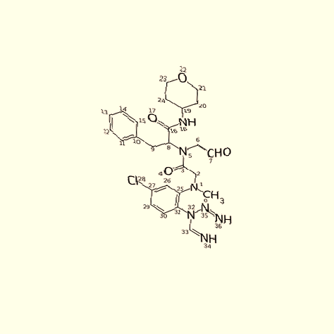 CN(CC(=O)N(CC=O)C(Cc1ccccc1)C(=O)NC1CCOCC1)c1cc(Cl)ccc1N(C=N)N=N